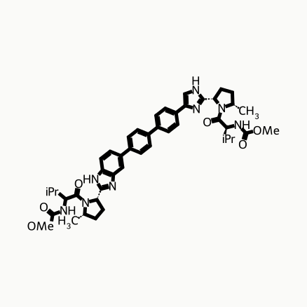 COC(=O)NC(C(=O)N1[C@@H](C)CC[C@H]1c1nc2cc(-c3ccc(-c4ccc(-c5c[nH]c([C@@H]6CC[C@H](C)N6C(=O)[C@@H](NC(=O)OC)C(C)C)n5)cc4)cc3)ccc2[nH]1)C(C)C